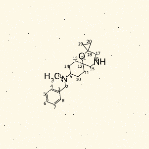 CN(Cc1ccccc1)C1CCC2(CC1)CNCC1(CC1)O2